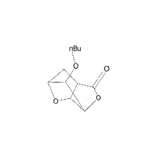 CCCCOC1C2CC3C(=O)OC1C3O2